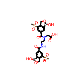 CS(=O)(=O)c1cc(C(=O)NCCN(CC(=O)O)C(=O)c2cc3c(c(S(C)(=O)=O)c2)COB3O)cc2c1COB2O